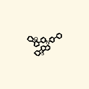 c1ccc(-c2ccc(N(c3cccc(-c4cccc5c4oc4ccccc45)c3)c3cccc4c3ccc3c5ccccc5sc43)cc2)cc1